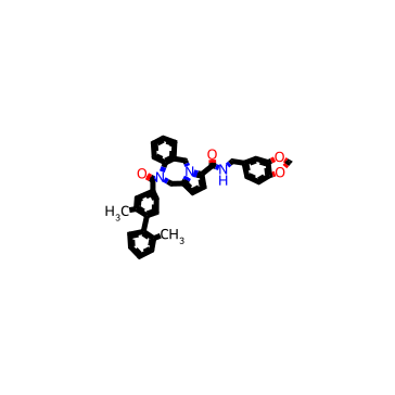 Cc1ccccc1-c1ccc(C(=O)N2Cc3ccc(C(=O)NCc4ccc5c(c4)OCO5)n3Cc3ccccc32)cc1C